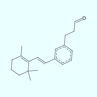 CC1=C(C=Cc2cccc(CCC=O)c2)C(C)(C)CCC1